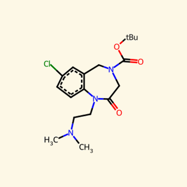 CN(C)CCN1C(=O)CN(C(=O)OC(C)(C)C)Cc2cc(Cl)ccc21